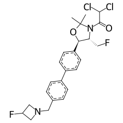 CC1(C)O[C@H](c2ccc(-c3ccc(CN4CC(F)C4)cc3)cc2)[C@@H](CF)N1C(=O)C(Cl)Cl